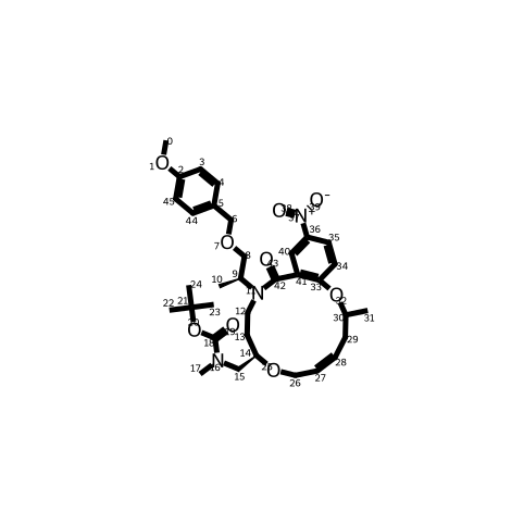 COc1ccc(COC[C@H](C)N2CC[C@H](CN(C)C(=O)OC(C)(C)C)OCC=CCC(C)Oc3ccc([N+](=O)[O-])cc3C2=O)cc1